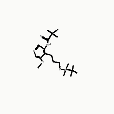 COc1cncc(NC(=O)C(C)(C)C)c1CCCO[Si](C)(C)C(C)(C)C